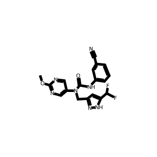 COc1ncc(N(Cc2cc(C(F)F)[nH]n2)C(=O)Nc2cccc(C#N)c2)cn1